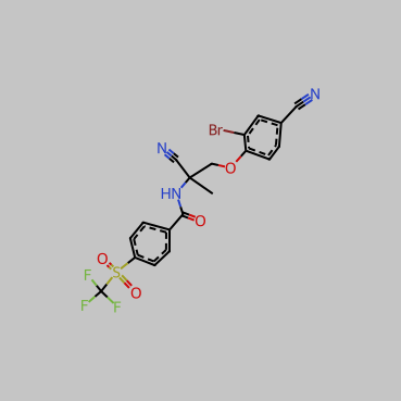 CC(C#N)(COc1ccc(C#N)cc1Br)NC(=O)c1ccc(S(=O)(=O)C(F)(F)F)cc1